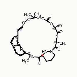 CC(C)[C@@H]1OC(=O)COC(C)(C)CO/C=C/c2ccc3ccc(nc3c2)[C@@H](C)NC(=O)[C@@H]2CCCN(N2)C(=O)[C@H](C)NC1=O